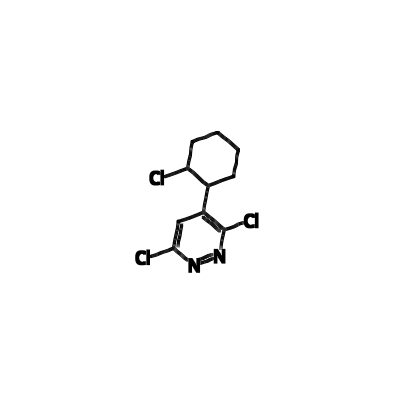 Clc1cc(C2CCCCC2Cl)c(Cl)nn1